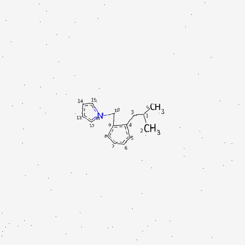 CC(C)Cc1ccccc1Cn1cccc1